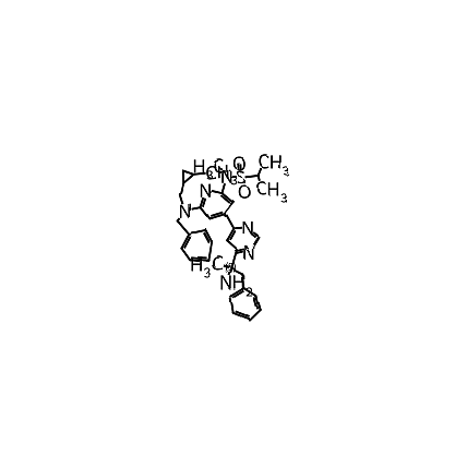 CC1CC1CN(Cc1ccccc1)c1cc(-c2cc([C@@](C)(N)Cc3ccccc3)ncn2)cc(N(C)S(=O)(=O)C(C)C)n1